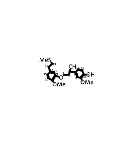 COc1cc(C(C)CCOc2cc(CCSC)ccc2OC)ccc1O